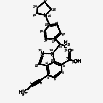 CC#Cc1ccc(C(=O)O)c2c1cnn2C(C)c1ccc(N2CCCC2)cc1